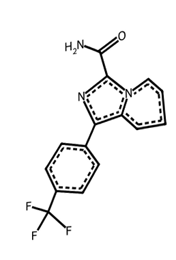 NC(=O)c1nc(-c2ccc(C(F)(F)F)cc2)c2ccccn12